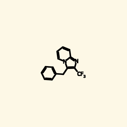 FC(F)(F)c1nc2ccccn2c1Cc1ccccc1